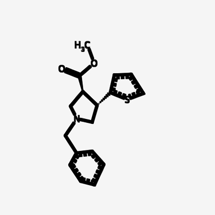 COC(=O)[C@@H]1CN(Cc2ccccc2)C[C@H]1c1cccs1